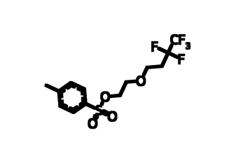 Cc1ccc(S(=O)(=O)OCCOCCC(F)(F)C(F)(F)F)cc1